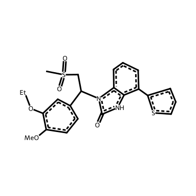 CCOc1cc(C(CS(C)(=O)=O)n2c(=O)[nH]c3c(-c4cccs4)cccc32)ccc1OC